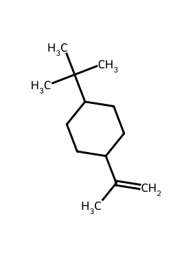 C=C(C)C1CCC(C(C)(C)C)CC1